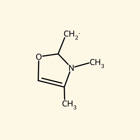 [CH2]C1OC=C(C)N1C